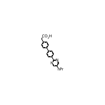 CCCc1cnc(-c2ccc(-c3ccc(CC(=O)O)cc3)cc2)nc1